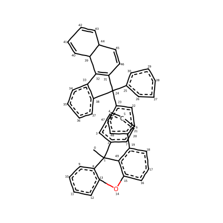 CC1(c2ccccc2)c2ccccc2Oc2cccc(-c3ccc(C4(c5ccccc5)C5=C(c6ccccc64)C4C=CC=CC4C=C5)cc3)c21